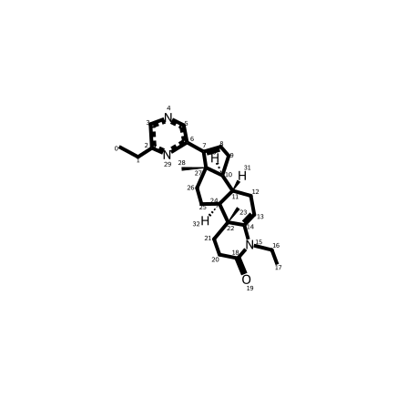 CCc1cncc(C2=CC[C@H]3[C@@H]4CC=C5N(CC)C(=O)CC[C@]5(C)[C@H]4CC[C@]23C)n1